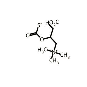 C[N+](C)(C)CC(CC(=O)O)OC(=O)[S-]